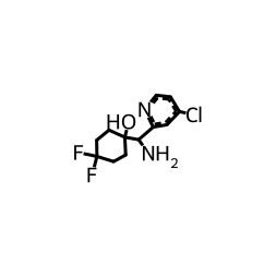 NC(c1cc(Cl)ccn1)C1(O)CCC(F)(F)CC1